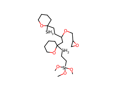 CO[Si](CC[SiH2]C1(CC(CCC2([SiH3])CCCCO2)OCC2CO2)CCCCO1)(OC)OC